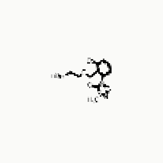 CCCCCCCCCCCCOCc1c(CC)cccc1-n1nnn(C)c1=O